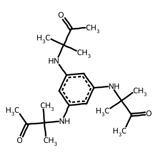 CC(=O)C(C)(C)Nc1cc(NC(C)(C)C(C)=O)cc(NC(C)(C)C(C)=O)c1